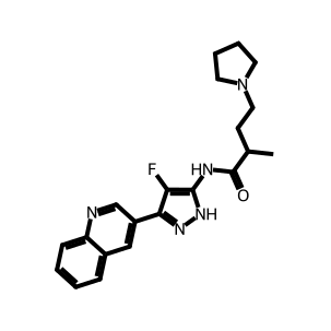 CC(CCN1CCCC1)C(=O)Nc1[nH]nc(-c2cnc3ccccc3c2)c1F